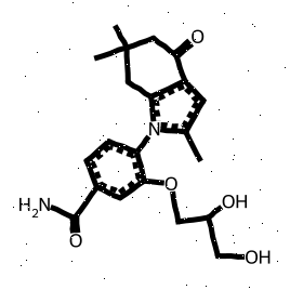 Cc1cc2c(n1-c1ccc(C(N)=O)cc1OCC(O)CO)CC(C)(C)CC2=O